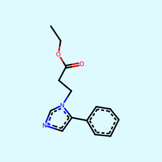 CCOC(=O)CCn1cncc1-c1ccccc1